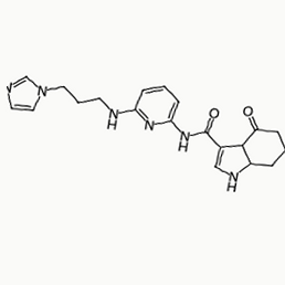 O=C(Nc1cccc(NCCCn2ccnc2)n1)C1=CNC2CCCC(=O)C12